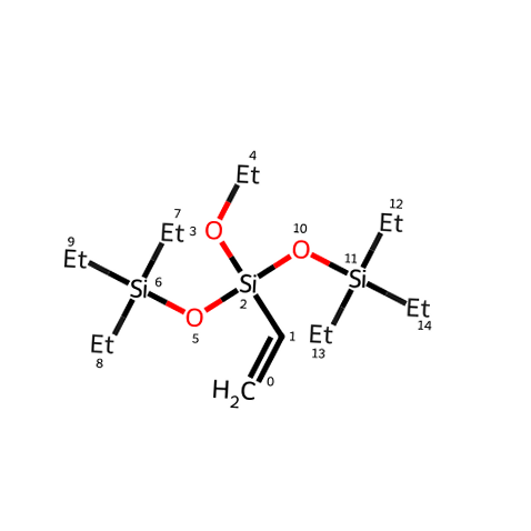 C=C[Si](OCC)(O[Si](CC)(CC)CC)O[Si](CC)(CC)CC